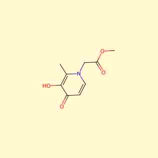 COC(=O)Cn1ccc(=O)c(O)c1C